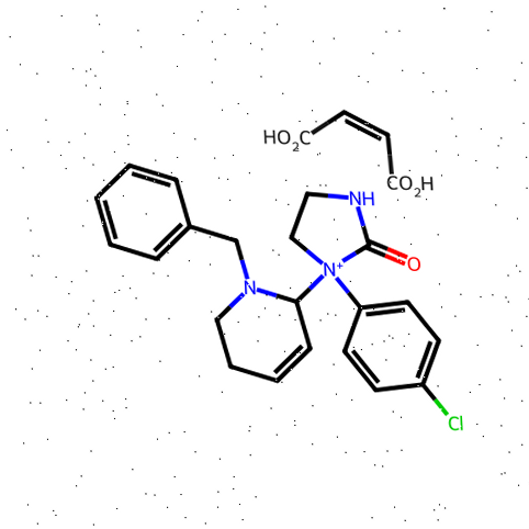 O=C(O)/C=C\C(=O)O.O=C1NCC[N+]1(c1ccc(Cl)cc1)C1C=CCCN1Cc1ccccc1